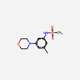 CS(=O)(=O)Nc1cc(I)cc(N2CCOCC2)c1